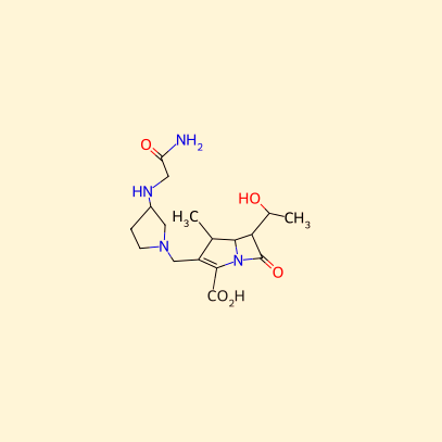 CC(O)C1C(=O)N2C(C(=O)O)=C(CN3CCC(NCC(N)=O)C3)C(C)C12